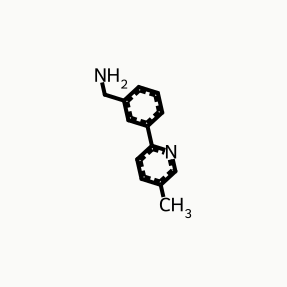 Cc1ccc(-c2cccc(CN)c2)nc1